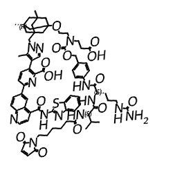 Cc1c(-c2ccc(-c3ccc4nccc(C(=O)Nc5nc6ccccc6s5)c4c3)nc2C(=O)O)cnn1CC12CC3(C)CC(OCCN(CCC(=O)O)C(=O)OCc4ccc(NC(=O)[C@H](CCCNC(N)=O)NC(=O)[C@@H](NC(=O)CCCCCN5C(=O)C=CC5=O)C(C)C)cc4)(C1)C[C@](C)(C3)C2